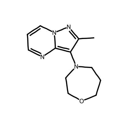 Cc1nn2cccnc2c1N1CCCOCC1